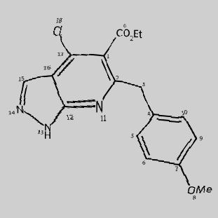 CCOC(=O)c1c(Cc2ccc(OC)cc2)nc2[nH]ncc2c1Cl